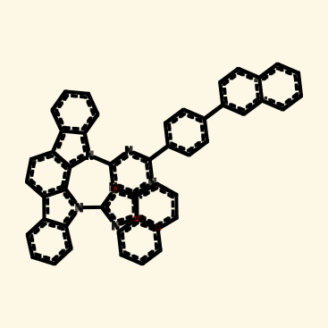 c1ccc(-c2nc(-c3ccc(-c4ccc5ccccc5c4)cc3)nc(-n3c4ccccc4c4ccc5c6ccccc6n(-c6nc7ccccc7o6)c5c43)n2)cc1